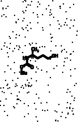 C[C@@H](CCCO)NC(=O)OC(C)(C)C